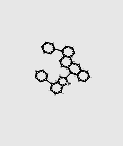 c1ccc(-c2cccc3c2ccc2c(-c4nc5c(-c6ccccc6)cccc5[nH]4)c4ccccc4cc23)cc1